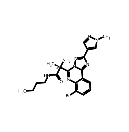 CCCCNC(=O)[C@](C)(N)c1nc2c(Br)cccc2c2nc(-c3cnn(C)c3)nn12